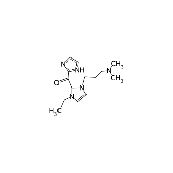 CCN1C=CN(CCCN(C)C)C1C(=O)c1ncc[nH]1